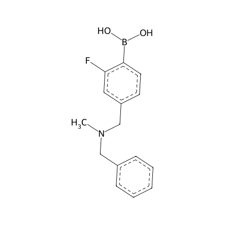 CN(Cc1ccccc1)Cc1ccc(B(O)O)c(F)c1